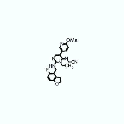 C=Cn1c(NCc2c(F)ccc3c2CCO3)ncc(-c2ccc(OC)nc2)/c1=N/CC#N